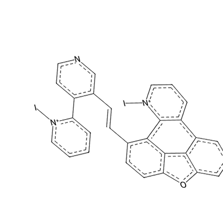 I[n+]1ccccc1-c1ccncc1/C=C/c1ccc2oc3cccc4c5ccc[n+](I)c5c1c2c34